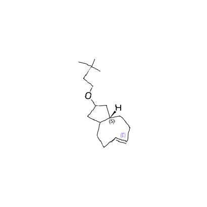 CC(C)(C)CCOC1CC2CC/C=C/CC[C@H]2C1